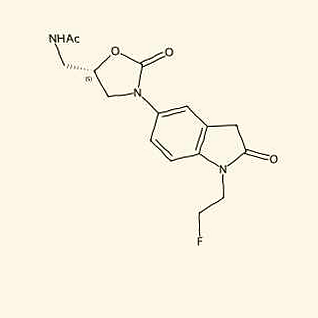 CC(=O)NC[C@H]1CN(c2ccc3c(c2)CC(=O)N3CCF)C(=O)O1